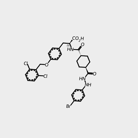 O=C(O)[C@H](Cc1ccc(OCc2c(Cl)cccc2Cl)cc1)NC(=O)[C@H]1CC[C@H](C(=O)NNc2ccc(Br)cc2)CC1